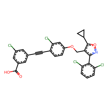 O=C(O)c1cc(Cl)cc(C#Cc2ccc(OCc3c(-c4c(Cl)cccc4Cl)noc3C3CC3)cc2Cl)c1